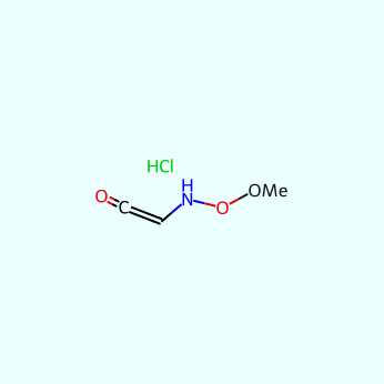 COONC=C=O.Cl